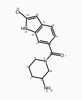 NC1CCCN(C(=O)c2ccc3cc(Cl)[nH]c3c2)C1